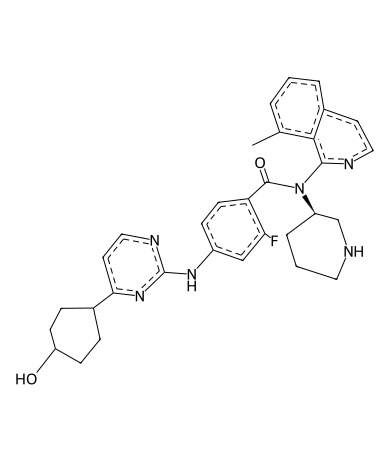 Cc1cccc2ccnc(N(C(=O)c3ccc(Nc4nccc(C5CCC(O)CC5)n4)cc3F)[C@@H]3CCCNC3)c12